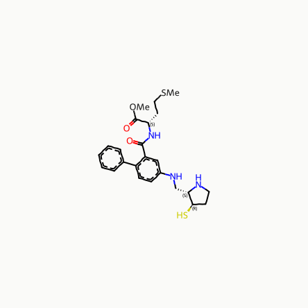 COC(=O)[C@H](CCSC)NC(=O)c1cc(NC[C@@H]2NCC[C@H]2S)ccc1-c1ccccc1